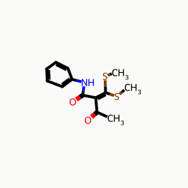 CSC(SC)=C(C(C)=O)C(=O)Nc1ccccc1